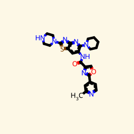 Cc1cc(-c2nc(C(=O)Nc3cc4sc(N5CCNCC5)nc4nc3N3CCCCC3)co2)ccn1